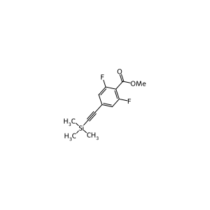 COC(=O)c1c(F)cc(C#C[Si](C)(C)C)cc1F